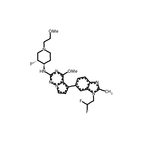 COCCN1CC[C@@H](Nc2nc(OC)c3c(-c4ccc5nc(C)n(CC(F)F)c5c4)ccn3n2)[C@H](F)C1